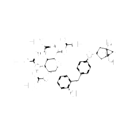 CC(=O)OC[C@H]1O[C@H](c2ccc(Cl)c(Cc3ccc(O[C@H]4C[C@@H]5C[C@@H]5C4)cc3)c2)[C@H](OC(C)=O)[C@@H](OC(C)=O)[C@@H]1OC(C)=O